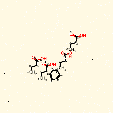 CCCC(=O)O.CCCC(=O)O.CCCC(=O)O.CCCC(=O)O.c1ccccc1